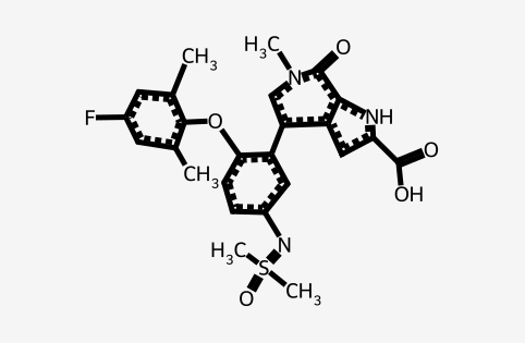 Cc1cc(F)cc(C)c1Oc1ccc(N=S(C)(C)=O)cc1-c1cn(C)c(=O)c2[nH]c(C(=O)O)cc12